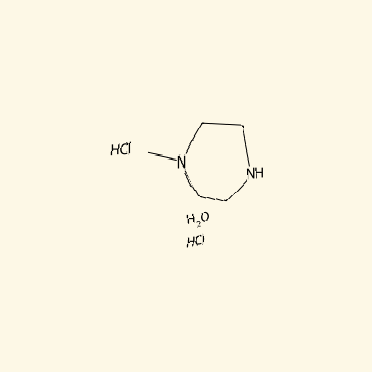 CN1CCNCC1.Cl.Cl.O